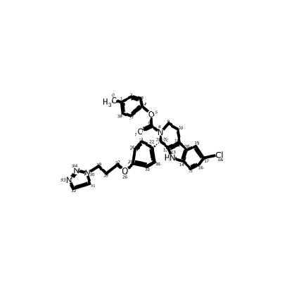 Cc1ccc(OC(=O)N2CCc3c([nH]c4ccc(Cl)cc34)[C@@H]2c2ccc(OCCCn3ccnn3)cc2)cc1